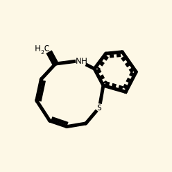 C=C1/C=C\C=C/CSc2ccccc2N1